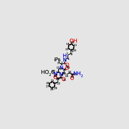 CC(C)CC(C(=O)NCCCc1ccc(O)cc1)N1CC2N(C(=O)O)O[C@H](Cc3ccccc3)C(=O)N2[C@@H](CCC(N)=O)C1=O